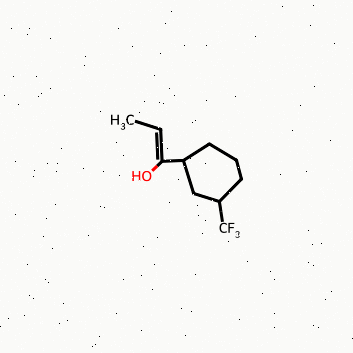 CC=C(O)C1CCCC(C(F)(F)F)C1